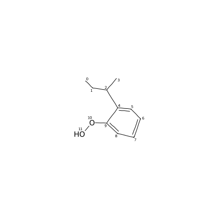 CCC(C)c1ccccc1OO